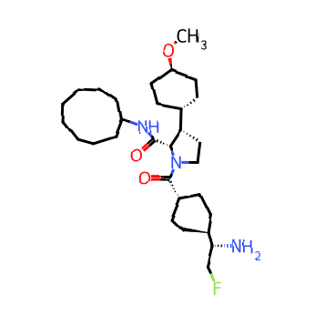 CO[C@H]1CC[C@H]([C@@H]2CCN(C(=O)[C@H]3CC[C@H]([C@H](N)CF)CC3)[C@@H]2C(=O)NC2CCCCCCCC2)CC1